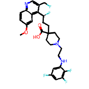 COc1ccc2ncc(CF)c([C@@H](F)CCC3(C(=O)O)CCN(CCNc4cc(F)cc(F)c4F)CC3)c2c1